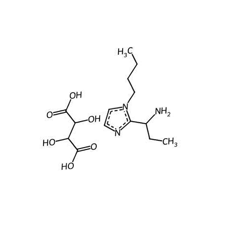 CCCCn1ccnc1C(N)CC.O=C(O)C(O)C(O)C(=O)O